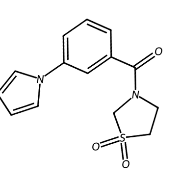 O=C(c1cccc(-n2cccc2)c1)N1CCS(=O)(=O)C1